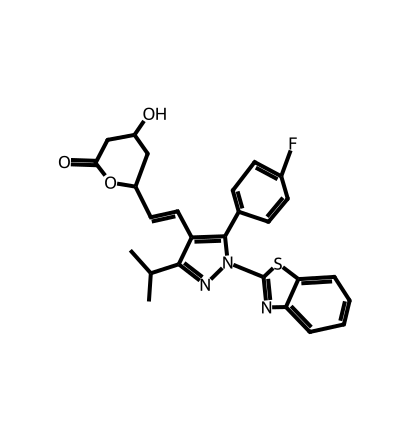 CC(C)c1nn(-c2nc3ccccc3s2)c(-c2ccc(F)cc2)c1C=CC1CC(O)CC(=O)O1